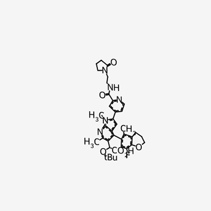 Cc1nc2c(cc(-c3ccnc(C(=O)NCCN4CCCC4=O)c3)n2C)c(-c2cc(F)c3c(c2C)CCCO3)c1[C@H](OC(C)(C)C)C(=O)O